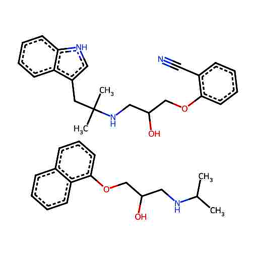 CC(C)(Cc1c[nH]c2ccccc12)NCC(O)COc1ccccc1C#N.CC(C)NCC(O)COc1cccc2ccccc12